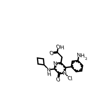 Nc1cccc(-c2c(CC(=O)O)nc(NC3CCC3)c(=O)n2Cl)c1